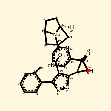 Cc1ccccc1-c1noc(C2CC2)c1CO[C@@H]1CC2CC[C@@H](C1)N2c1cncc(C(=O)O)n1